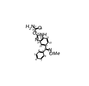 CON=C(c1ccccc1)c1ccc2[nH]c(OC(N)=O)nc2c1